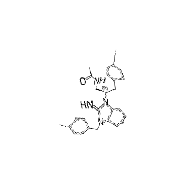 CC(=O)NC[C@@H](Cc1ccc(C)cc1)n1c(=N)n(Cc2ccc(C)cc2)c2ccccc21